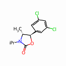 CC(C)N1C(=O)O[C@H](c2cc(Cl)cc(Cl)c2)[C@H]1C